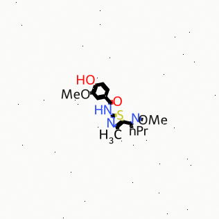 CCCC(=NOC)c1sc(NC(=O)c2ccc(O)c(OC)c2)nc1C